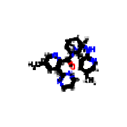 Cc1ccc(N[C@@H]2CC3CC[C@@H]2N(C(=O)c2ncc(C)cc2-c2ncccn2)C3)nc1